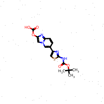 CC(C)(C)OC(=O)Nc1nc(-c2ccc3nc(OC(=O)O)cn3c2)cs1